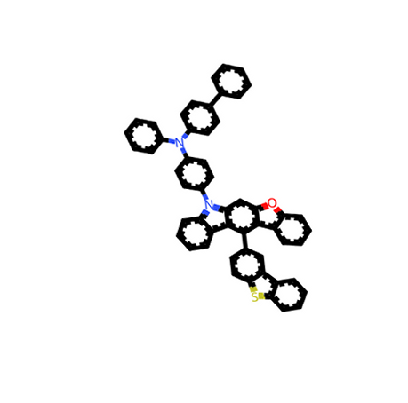 c1ccc(-c2ccc(N(c3ccccc3)c3ccc(-n4c5ccccc5c5c(-c6ccc7sc8ccccc8c7c6)c6c(cc54)oc4ccccc46)cc3)cc2)cc1